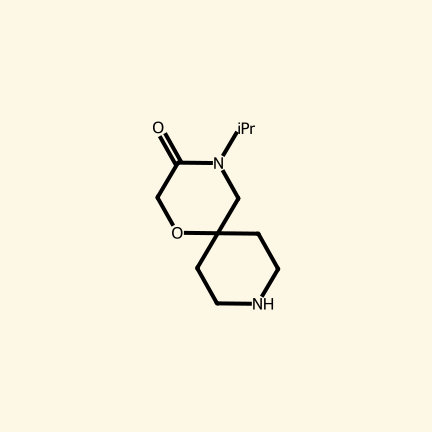 CC(C)N1CC2(CCNCC2)OCC1=O